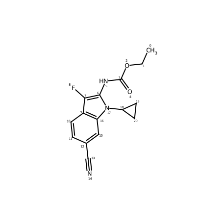 CCOC(=O)Nc1c(F)c2ccc(C#N)cc2n1C1CC1